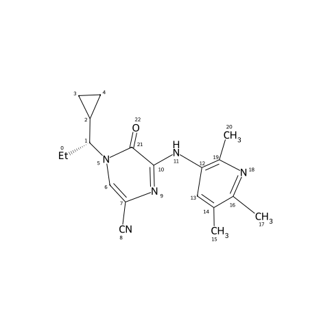 CC[C@H](C1CC1)n1cc(C#N)nc(Nc2cc(C)c(C)nc2C)c1=O